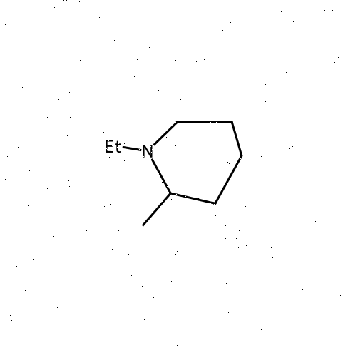 [CH2]CN1CCCCC1C